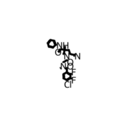 CN(CC(=O)N1CC(C)(C(=O)Nc2ccccc2)CC1C#N)C(=O)c1ccc(Cl)c(F)c1F